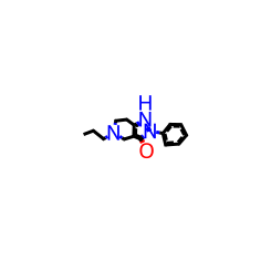 CCCN1CCc2[nH]n(-c3ccccc3)c(=O)c2C1